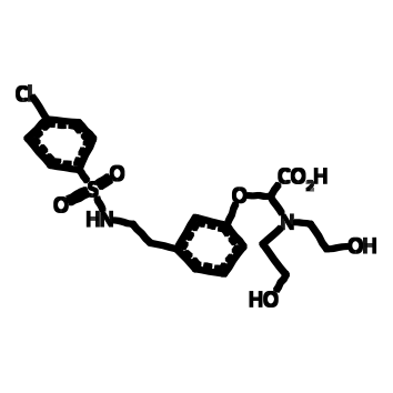 O=C(O)C(Oc1cccc(CCNS(=O)(=O)c2ccc(Cl)cc2)c1)N(CCO)CCO